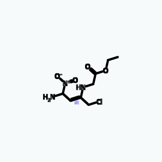 CCOC(=O)CN/C(=C\C(N)[N+](=O)[O-])CCl